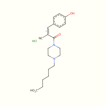 Cl.N#C/C(=C/c1ccc(O)cc1)C(=O)N1CCN(CCCCCC(=O)O)CC1